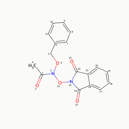 CC(=O)N(OCc1ccccc1)ON1C(=O)c2ccccc2C1=O